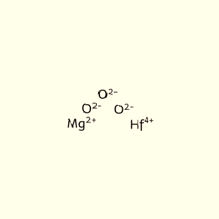 [Hf+4].[Mg+2].[O-2].[O-2].[O-2]